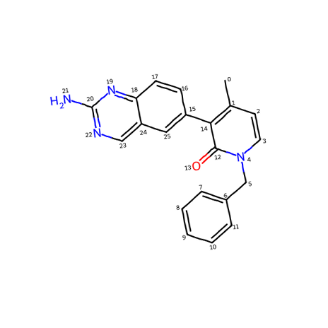 Cc1ccn(Cc2ccccc2)c(=O)c1-c1ccc2nc(N)ncc2c1